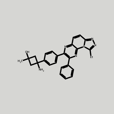 CCc1nnc2ccc3nc(-c4ccc(C5(N)CC(C)(O)C5)cc4)c(-c4ccccc4)nc3n12